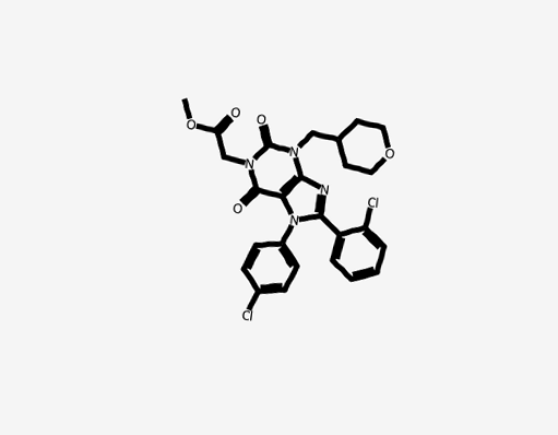 COC(=O)Cn1c(=O)c2c(nc(-c3ccccc3Cl)n2-c2ccc(Cl)cc2)n(CC2CCOCC2)c1=O